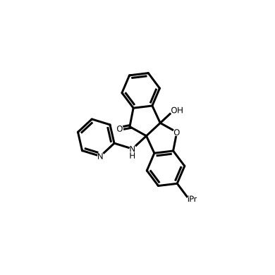 CC(C)c1ccc2c(c1)OC1(O)c3ccccc3C(=O)C21Nc1ccccn1